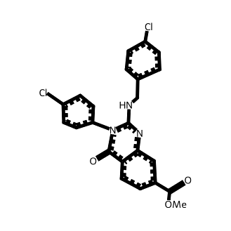 COC(=O)c1ccc2c(=O)n(-c3ccc(Cl)cc3)c(NCc3ccc(Cl)cc3)nc2c1